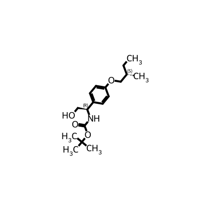 CC[C@H](C)COc1ccc([C@H](CO)NC(=O)OC(C)(C)C)cc1